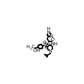 CC(O)c1ccc(S(=O)(=O)N2C(Cc3c[nH]cn3)C(=O)NC23CCN(CC2CC2)CC3)cc1